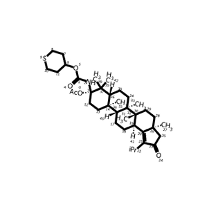 CC(=O)O[C@@]1(NC(=O)OC2CCSCC2)CC[C@]2(C)[C@H]3CC[C@@H]4C5=C(C(C)C)C(=O)C[C@]5(C)CC[C@@]4(C)[C@]3(C)CC[C@H]2C1(C)C